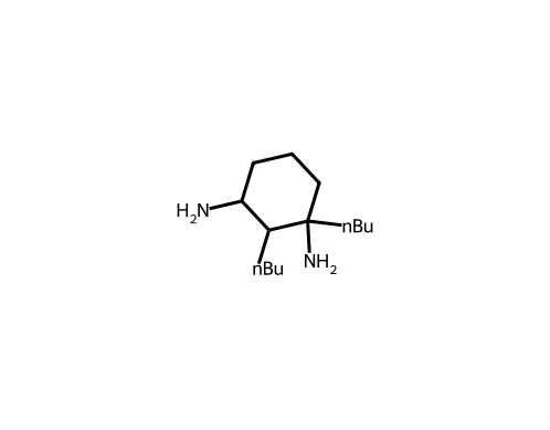 CCCCC1C(N)CCCC1(N)CCCC